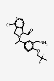 CC(c1ccc(OCC(C)(F)F)c(CN)c1)N1Cc2c(ccnc2Cl)C1C=O